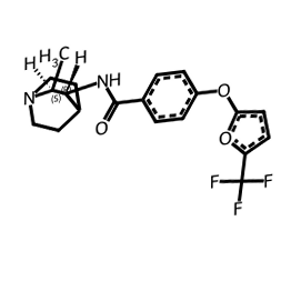 C[C@H]1[C@H](NC(=O)c2ccc(Oc3ccc(C(F)(F)F)o3)cc2)C2CCN1CC2